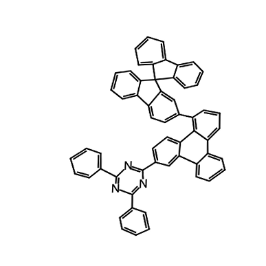 c1ccc(-c2nc(-c3ccccc3)nc(-c3ccc4c(c3)c3ccccc3c3cccc(-c5ccc6c(c5)C5(c7ccccc7-c7ccccc75)c5ccccc5-6)c34)n2)cc1